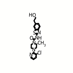 C[C@@H]1CN(c2ncccc2Cl)CCN1C(=O)Nc1nc2ccc(CCO)cc2s1